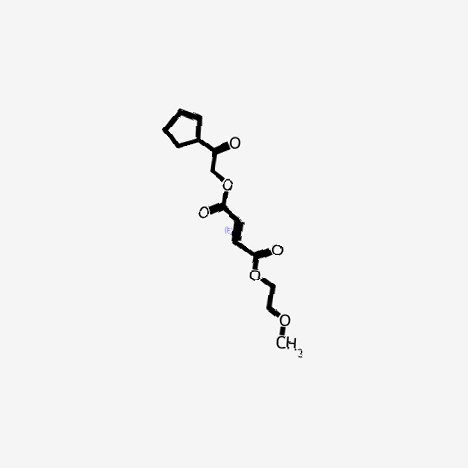 COCCOC(=O)/C=C/C(=O)OCC(=O)C1CCCC1